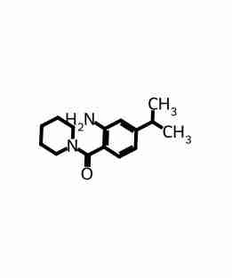 CC(C)c1ccc(C(=O)N2CCCCC2)c(N)c1